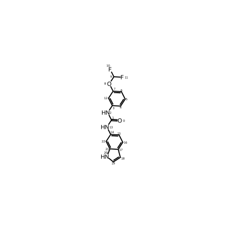 O=C(Nc1cccc(OC(F)F)c1)Nc1ccc2cc[nH]c2c1